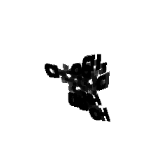 COC(=O)C(c1ccc(Cl)cc1)(c1ccc(Cl)cc1)c1ccc([N+](=O)[O-])c(NCCO)c1